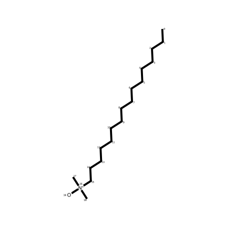 CCCCCCCCCCCCCCCC[N+](C)(C)[O-]